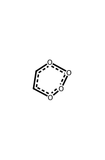 c1coooo1